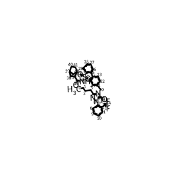 CCCCc1nn(-c2ccccc2C(F)(F)F)c(=O)n1Cc1ccc(-c2ccccc2S(=O)(=O)NC(=O)C2CC3CCC2C3)cc1